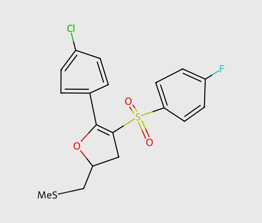 CSCC1CC(S(=O)(=O)c2ccc(F)cc2)=C(c2ccc(Cl)cc2)O1